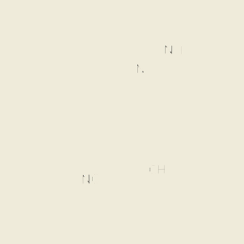 CC(C#N)CCN=N